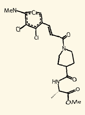 CNc1ccc(/C=C/C(=O)N2CCC(C(=O)N[C@@H](C)C(=O)OC)CC2)c(Cl)c1Cl